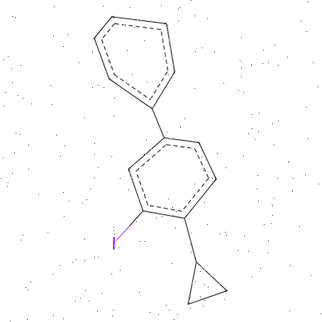 Ic1cc(-c2ccccc2)ccc1C1CC1